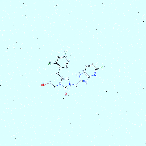 O=c1n(Cc2nc3nc(F)ccc3[nH]2)cc(Cc2ccc(Cl)cc2Cl)n1CCO